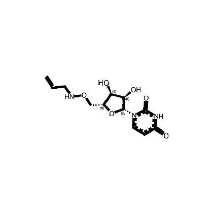 C=CCNOC[C@H]1O[C@@H](n2ccc(=O)[nH]c2=O)[C@H](O)[C@@H]1O